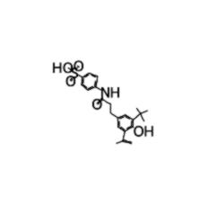 C=C(C)c1cc(CCC(=O)Nc2ccc(S(=O)(=O)O)cc2)cc(C(C)(C)C)c1O